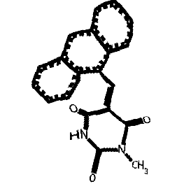 CN1C(=O)NC(=O)/C(=C\c2c3ccccc3cc3ccccc23)C1=O